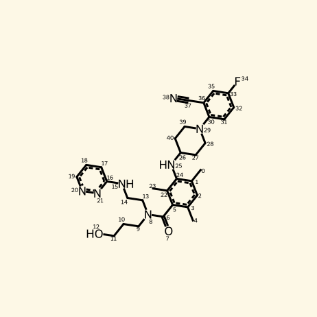 Cc1cc(C)c(C(=O)N(CCCO)CCNc2cccnn2)c(C)c1NC1CCN(c2ccc(F)cc2C#N)CC1